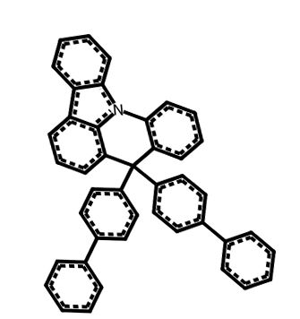 c1ccc(-c2ccc(C3(c4ccc(-c5ccccc5)cc4)c4ccccc4-n4c5ccccc5c5cccc3c54)cc2)cc1